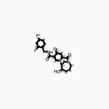 O=C(NCc1ccc(F)cc1F)c1cn2c(cc1=O)C(=O)N1CCCC(O)C2C1